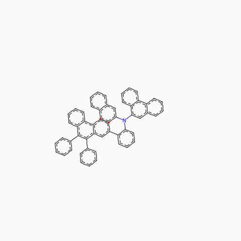 c1ccc(-c2c(-c3ccccc3)c3cc(-c4ccccc4N(c4ccc5ccccc5c4)c4cc5ccccc5c5ccccc45)ccc3c3ccccc23)cc1